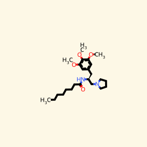 CCCCCCCC(=O)N[C@@H](Cc1cc(OC)c(OC)c(OC)c1)CN1CCCC1